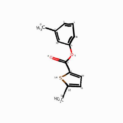 Cc1cccc(OC(=O)c2ccc(C(=O)O)s2)c1